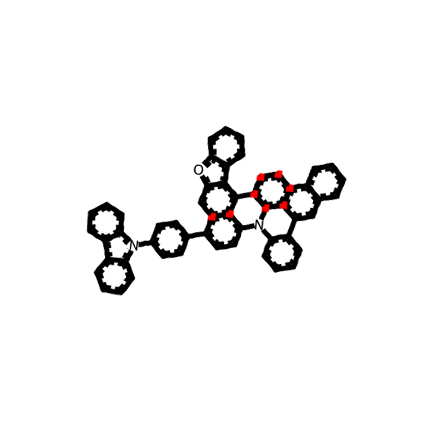 c1ccc(N(c2ccc(-c3ccc(-n4c5ccccc5c5ccccc54)cc3)cc2)c2ccccc2-c2cccc3oc4ccccc4c23)c(-c2cc3ccccc3c3ccccc23)c1